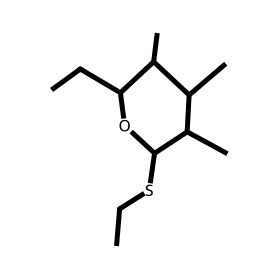 CCSC1OC(CC)C(C)C(C)C1C